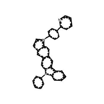 c1ccc(-n2c3ccccc3c3cc4cc5c(ccn5-c5ccc(-c6ccccn6)cc5)cc4cc32)cc1